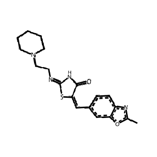 Cc1nc2ccc(C=C3SC(=NCCN4CCCCC4)NC3=O)cc2o1